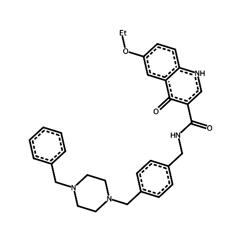 CCOc1ccc2[nH]cc(C(=O)NCc3ccc(CN4CCN(Cc5ccccc5)CC4)cc3)c(=O)c2c1